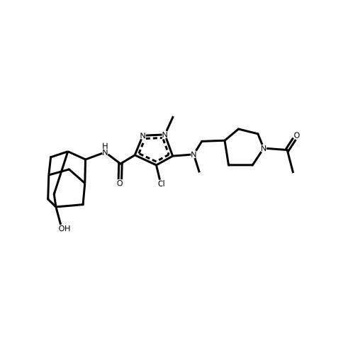 CC(=O)N1CCC(CN(C)c2c(Cl)c(C(=O)NC3C4CC5CC3CC(O)(C5)C4)nn2C)CC1